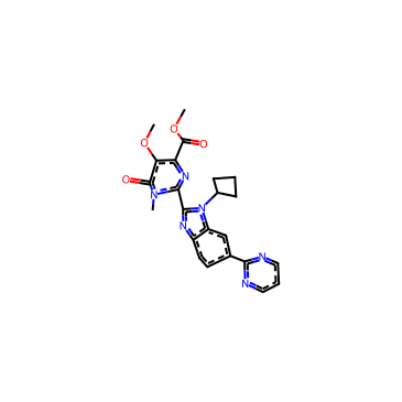 COC(=O)c1nc(-c2nc3ccc(-c4ncccn4)cc3n2C2CCC2)n(C)c(=O)c1OC